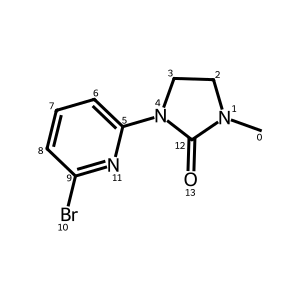 CN1CCN(c2cccc(Br)n2)C1=O